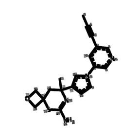 CC#Cc1cncc(-n2ccc(C3(C)CC4(COC4)SC(N)=N3)c2)c1